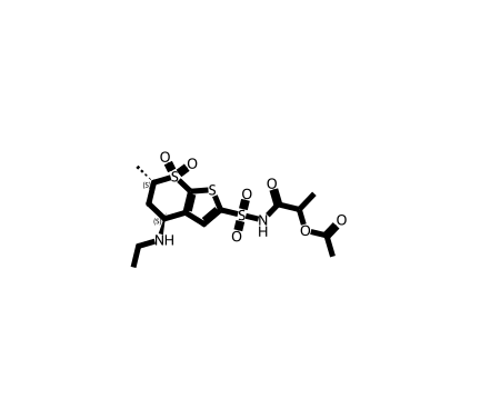 CCN[C@H]1C[C@H](C)S(=O)(=O)c2sc(S(=O)(=O)NC(=O)C(C)OC(C)=O)cc21